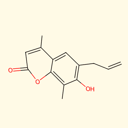 C=CCc1cc2c(C)cc(=O)oc2c(C)c1O